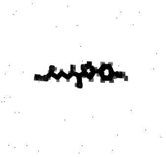 COC(=O)CCCNC(=O)c1cc(-c2ccc(N)cc2)no1